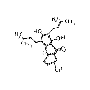 CC(C)=CCc1c(O)c(CC=C(C)C)c2oc3ccc(O)cc3c(=O)c2c1O